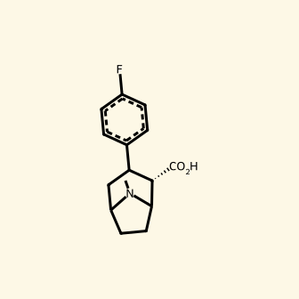 CN1C2CCC1[C@@H](C(=O)O)C(c1ccc(F)cc1)C2